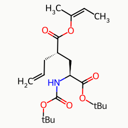 C=CC[C@@H](C[C@H](NC(=O)OC(C)(C)C)C(=O)OC(C)(C)C)C(=O)O/C(C)=C\C